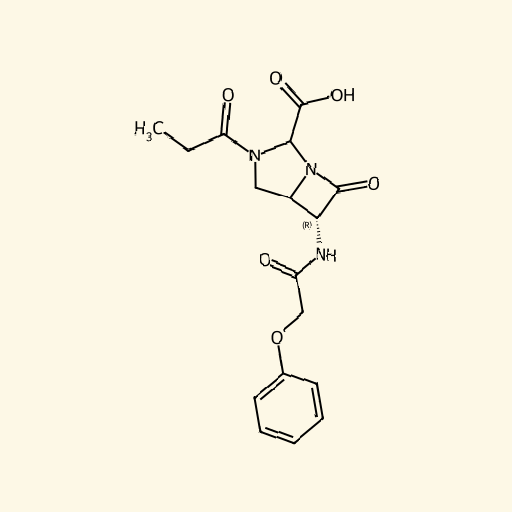 CCC(=O)N1CC2[C@@H](NC(=O)COc3ccccc3)C(=O)N2C1C(=O)O